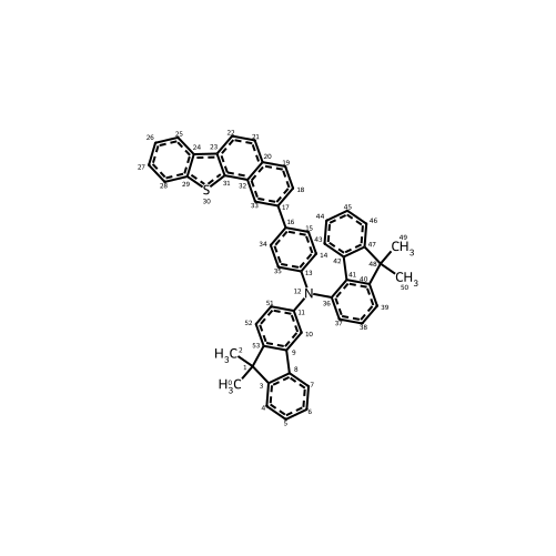 CC1(C)c2ccccc2-c2cc(N(c3ccc(-c4ccc5ccc6c7ccccc7sc6c5c4)cc3)c3cccc4c3-c3ccccc3C4(C)C)ccc21